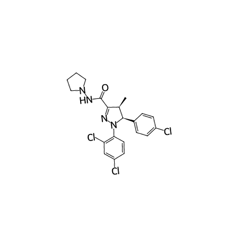 C[C@@H]1C(C(=O)NN2CCCC2)=NN(c2ccc(Cl)cc2Cl)[C@@H]1c1ccc(Cl)cc1